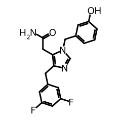 NC(=O)Cc1c(Cc2cc(F)cc(F)c2)ncn1Cc1cccc(O)c1